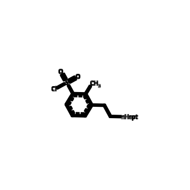 CCCCCCCCCc1cccc(S(=O)(=O)Cl)c1C